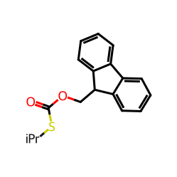 CC(C)SC(=O)OCC1c2ccccc2-c2ccccc21